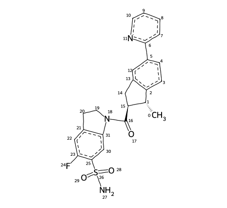 C[C@H]1c2ccc(-c3ccccn3)cc2C[C@@H]1C(=O)N1CCc2cc(F)c(S(N)(=O)=O)cc21